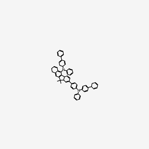 CC1(C)c2cc3c(c(N(c4ccccc4)C4C=CC(c5ccccc5)=CC4)c2C2C=CC(c4ccc(N(c5ccccc5)c5ccc(C6C=CC=CC6)cc5)cc4)=CC21)C=CCC3